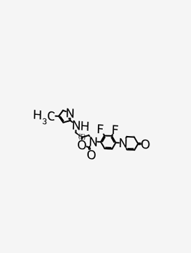 CC1=CC(NC[C@H]2CN(c3ccc(N4C=CC(=O)CC4)c(F)c3F)C(=O)O2)=NC1